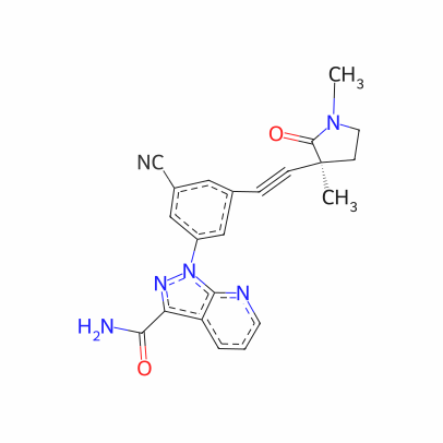 CN1CC[C@@](C)(C#Cc2cc(C#N)cc(-n3nc(C(N)=O)c4cccnc43)c2)C1=O